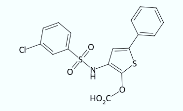 O=C(O)Oc1sc(-c2ccccc2)cc1NS(=O)(=O)c1cccc(Cl)c1